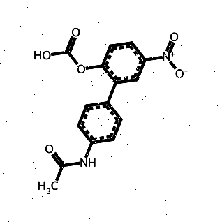 CC(=O)Nc1ccc(-c2cc([N+](=O)[O-])ccc2OC(=O)O)cc1